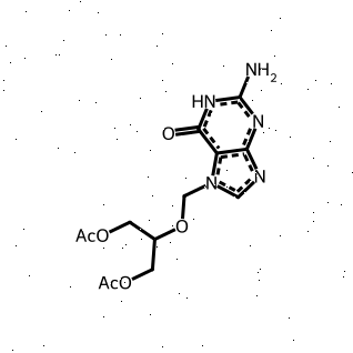 CC(=O)OCC(COC(C)=O)OCn1cnc2nc(N)[nH]c(=O)c21